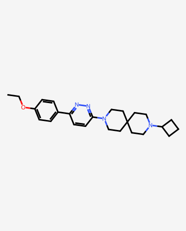 CCOc1ccc(-c2ccc(N3CCC4(CC3)CCN(C3CCC3)CC4)nn2)cc1